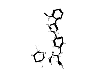 COc1ccccc1-c1cn(-c2ccc(C[C@@H](C#N)NC(=O)[C@H]3N[C@@H](C)CC[C@H]3C)cc2)nn1